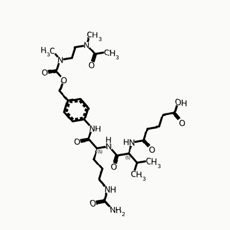 CC(=O)N(C)CCN(C)C(=O)OCc1ccc(NC(=O)[C@H](CCCNC(N)=O)NC(=O)[C@@H](NC(=O)CCCC(=O)O)C(C)C)cc1